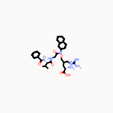 CC(C)[C@H](NC(=O)c1ccccc1)C(=O)NCC(=O)N(OCC(CNC(=N)N)C[C@H](N)C(=O)O)c1ccc2ccccc2c1